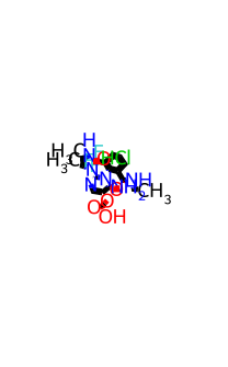 CCNC(=O)c1cccc(C(F)(F)F)c1N1C(N2CC(C)(C)NC2=O)=NC=C(OC(=O)O)C1N.Cl